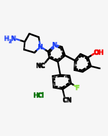 Cc1ccc(-c2cnc(N3CCC(N)CC3)c(C#N)c2-c2ccc(C#N)c(F)c2)cc1O.Cl